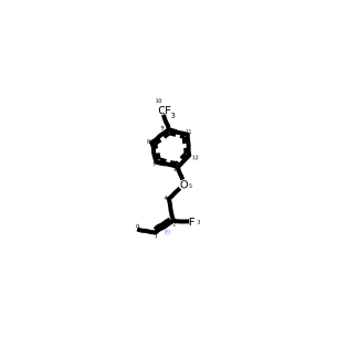 C/C=C(/F)COc1ccc(C(F)(F)F)cc1